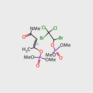 CNC(=O)/C=C(\C)OP(=O)(OC)OC.COP(=O)(OC)OC(Br)C(Cl)(Cl)Br